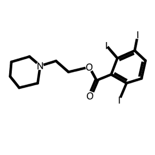 O=C(OCCN1CCCCC1)c1c(I)ccc(I)c1I